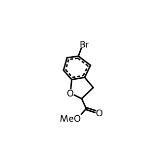 COC(=O)C1Cc2cc(Br)ccc2O1